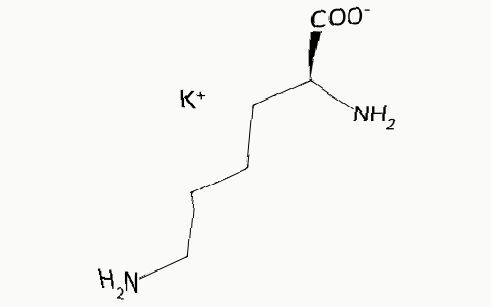 NCCCC[C@H](N)C(=O)[O-].[K+]